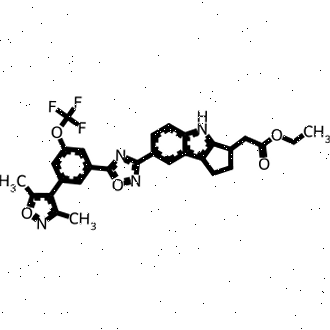 CCOC(=O)CC1CCc2c1[nH]c1ccc(-c3noc(-c4cc(OC(F)(F)F)cc(-c5c(C)noc5C)c4)n3)cc21